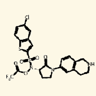 O=C1[C@@H](N(OC(=O)C(F)(F)F)S(=O)(=O)c2cc3cc(Cl)ccc3s2)CCN1c1ccc2c(c1)CCNC2